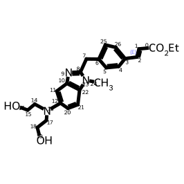 CCOC(=O)/C=C/c1ccc(Cc2nc3cc(N(CCO)CCO)ccc3n2C)cc1